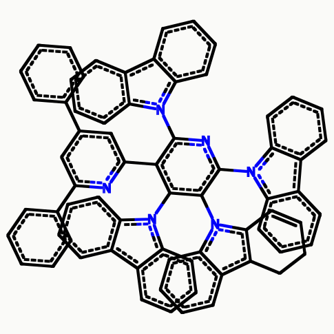 C1=Cc2c(c3ccccc3n2-c2c(-n3c4ccccc4c4ccccc43)nc(-n3c4ccccc4c4ccccc43)c(-c3cc(-c4ccccc4)cc(-c4ccccc4)n3)c2-n2c3ccccc3c3ccccc32)CC1